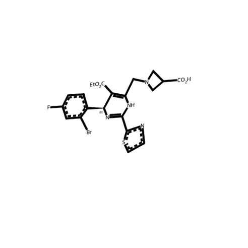 CCOC(=O)C1=C(CN2CC(C(=O)O)C2)NC(c2nccs2)=N[C@H]1c1ccc(F)cc1Br